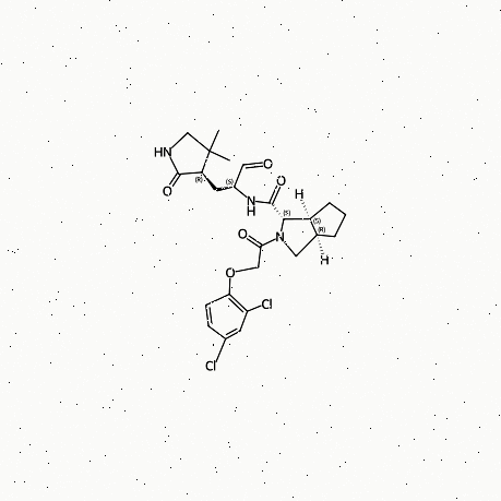 CC1(C)CNC(=O)[C@@H]1C[C@@H](C=O)NC(=O)[C@@H]1[C@H]2CCC[C@H]2CN1C(=O)COc1ccc(Cl)cc1Cl